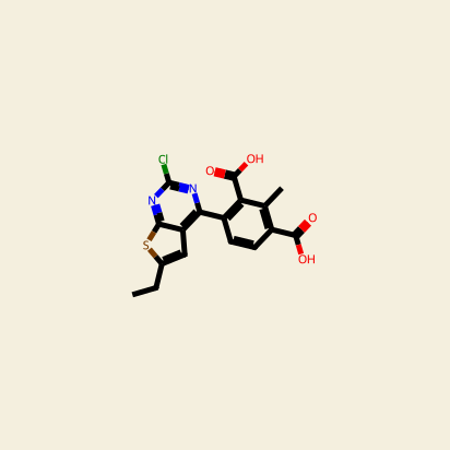 CCc1cc2c(-c3ccc(C(=O)O)c(C)c3C(=O)O)nc(Cl)nc2s1